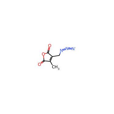 CC1=C(CN=[N+]=[N-])C(=O)OC1=O